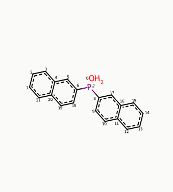 O.c1ccc2cc([P]c3ccc4ccccc4c3)ccc2c1